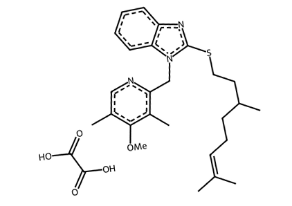 COc1c(C)cnc(Cn2c(SCCC(C)CCC=C(C)C)nc3ccccc32)c1C.O=C(O)C(=O)O